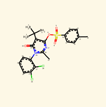 BC(B)(B)c1c(OS(=O)(=O)c2ccc(C)cc2)nc(C)n(-c2cccc(Cl)c2Cl)c1=O